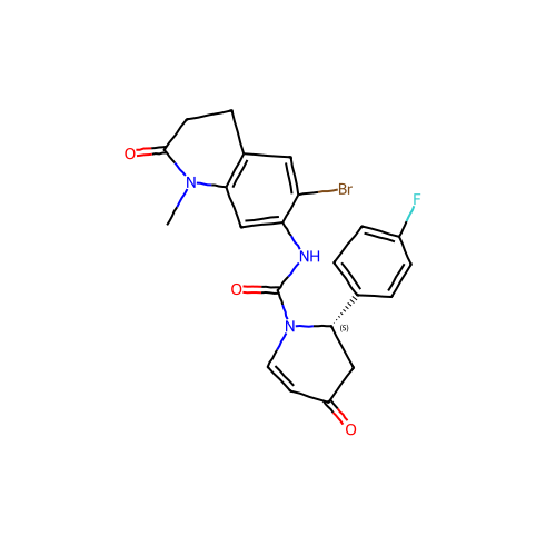 CN1C(=O)CCc2cc(Br)c(NC(=O)N3C=CC(=O)C[C@H]3c3ccc(F)cc3)cc21